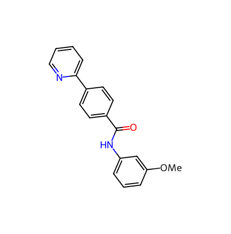 COc1cccc(NC(=O)c2ccc(-c3ccccn3)cc2)c1